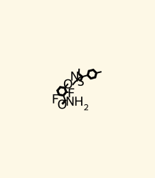 Cc1ccc(-c2sc(COc3ccc(F)c(C(N)=O)c3F)nc2C)cc1